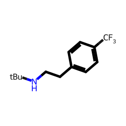 CC(C)(C)NCCc1ccc(C(F)(F)F)cc1